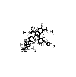 CCc1cc2c(cc1F)c(C(N)=O)c(-c1ccc(S(=O)(=O)N[C@@H](C)C(F)(F)F)cn1)n2-c1cccc(OC)c1